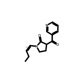 CC/C=C\N1CCC(C(=O)c2cccnc2)C1=O